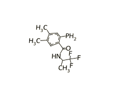 Cc1cc(P)c(C(=O)NC(C)C(F)(F)F)cc1C